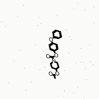 CC(=O)OC1CCN(C(=O)Oc2ccc(Oc3ccccc3)cc2)CC1